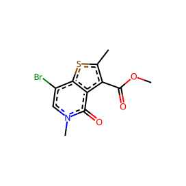 COC(=O)c1c(C)sc2c(Br)cn(C)c(=O)c12